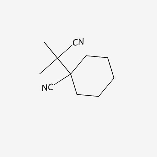 CC(C)(C#N)C1(C#N)CCCCC1